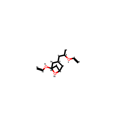 C=COC(C)CC1CC2CC(OC=C)(C1)O2